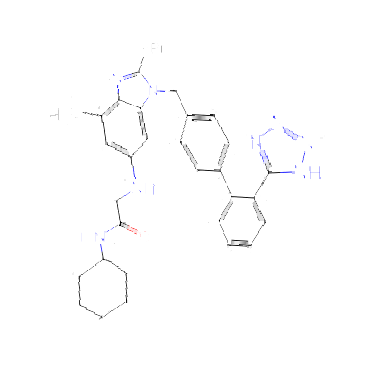 CCCc1nc2c(C)cc(NCC(=O)NC3CCCCC3)cc2n1Cc1ccc(-c2ccccc2-c2nnn[nH]2)cc1